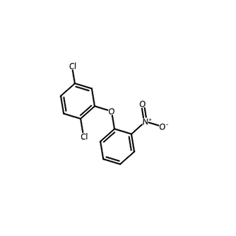 O=[N+]([O-])c1ccccc1Oc1cc(Cl)ccc1Cl